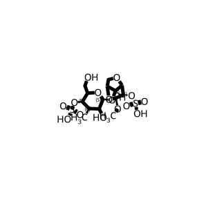 CO[C@H]1OC2COC([C@H]2O[C@@H]2OC(CO)[C@H](OS(=O)(=O)O)[C@H](C)C2O)[C@@H]1OS(=O)(=O)O